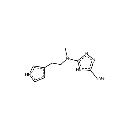 CNc1nnc(N(C)CCc2cc[nH]c2)[nH]1